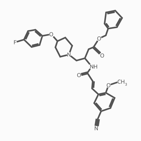 COc1ccc(C#N)cc1C=CC(=O)NC(CC(=O)OCc1ccccc1)CN1CCC(Oc2ccc(F)cc2)CC1